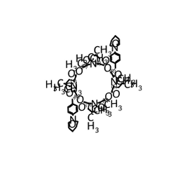 CC(C)C[C@H]1C(=O)O[C@H](Cc2ccc(N3CC4CC(C3)O4)cc2)C(=O)N(C)[C@@H](CC(C)C)C(=O)O[C@H](C)C(=O)N(C)[C@@H](CC(C)C)C(=O)O[C@H](Cc2ccc(N3CC4CC(C3)O4)cc2)C(=O)N(C)[C@@H](CC(C)C)C(=O)O[C@H](C)C(=O)N1C